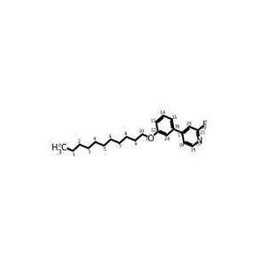 CCCCCCCCCCCOc1cccc(-c2ccnc(F)c2)c1